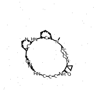 CN1c2cccc(c2)Nc2cc(ccn2)-c2cnc(nc2)NCCCNC(=O)C2(CC2)N2CCC1CC2